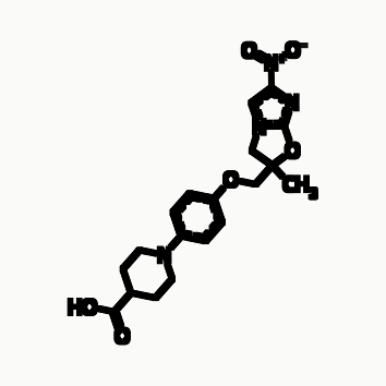 CC1(COc2ccc(N3CCC(C(=O)O)CC3)cc2)Cn2cc([N+](=O)[O-])nc2O1